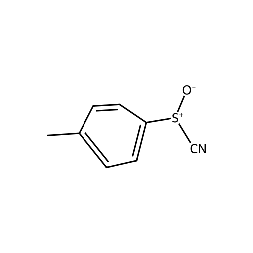 Cc1ccc([S+]([O-])C#N)cc1